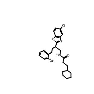 O=C(CCC1CCCCC1)NCC(CCc1ccccc1O)c1nc2cc(Cl)ccc2o1